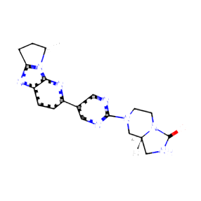 C[C@H]1CCc2nc3ccc(-c4cnc(N5CCN6C(=O)NC[C@@H]6C5)nc4)nc3n21